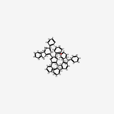 c1ccc(-c2nc(-c3cc(-c4ccccc4)c(-n4c5ccccc5c5ccc6c(c7ccccc7n6-c6ccccc6)c54)cc3-c3ccccc3)c3sc4ccccc4c3n2)cc1